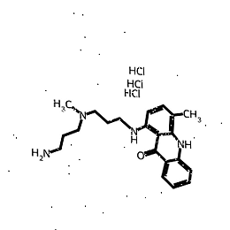 Cc1ccc(NCCCN(C)CCCN)c2c(=O)c3ccccc3[nH]c12.Cl.Cl.Cl